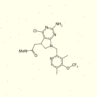 CNC(=O)CC1CN(Cc2ncc(C)c(OC(F)(F)F)c2C)c2nc(N)nc(Cl)c21